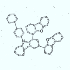 c1ccc(-c2ccc(-n3c4ccccc4c4cc(-c5cccc6c5oc5ccccc56)cc(-c5cccc6c5oc5ccccc56)c43)cc2)cc1